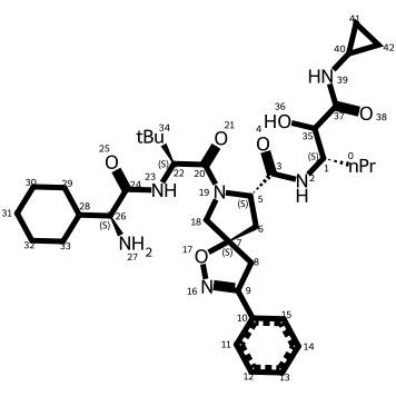 CCC[C@H](NC(=O)[C@@H]1C[C@]2(CC(c3ccccc3)=NO2)CN1C(=O)[C@@H](NC(=O)[C@@H](N)C1CCCCC1)C(C)(C)C)C(O)C(=O)NC1CC1